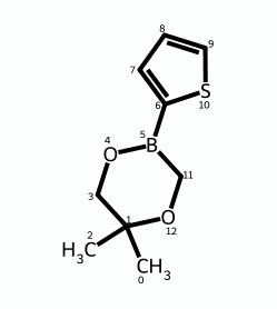 CC1(C)COB(c2cccs2)CO1